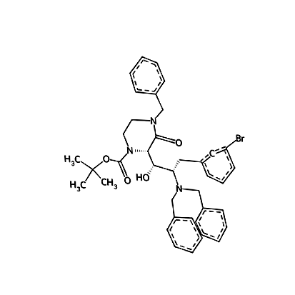 CC(C)(C)OC(=O)N1CCN(Cc2ccccc2)C(=O)[C@@H]1[C@@H](O)[C@H](Cc1cccc(Br)c1)N(Cc1ccccc1)Cc1ccccc1